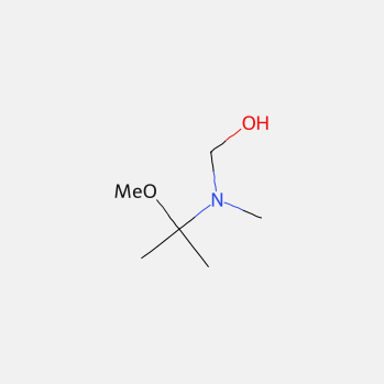 COC(C)(C)N(C)CO